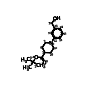 CC(C)(C)OC(=O)C1CCN(c2cccc(CO)c2)CC1